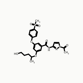 CC(=O)n1ccc(NC(=O)c2cc(Oc3ccc(S(C)(=O)=O)cc3)cc(OC(C)CCCO)c2)n1